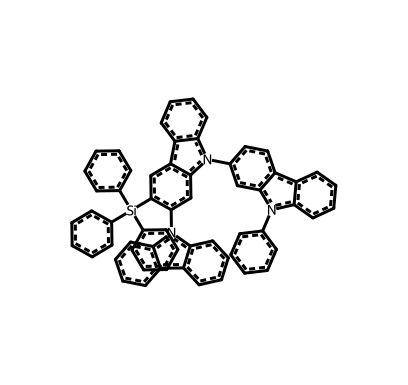 c1ccc(-n2c3ccccc3c3ccc(-n4c5ccccc5c5cc([Si](c6ccccc6)(c6ccccc6)c6ccccc6)c(-n6c7ccccc7c7ccccc76)cc54)cc32)cc1